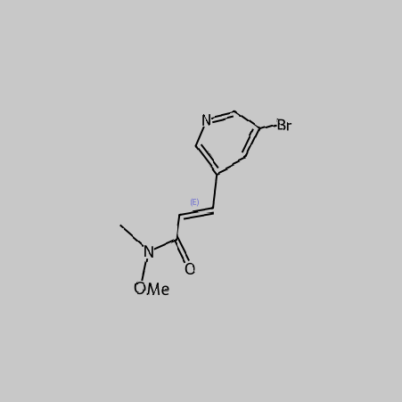 CON(C)C(=O)/C=C/c1cncc(Br)c1